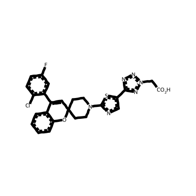 O=C(O)Cn1nnc(-c2cnc(N3CCC4(C=C(c5cc(F)ccc5Cl)c5ccccc5O4)CC3)s2)n1